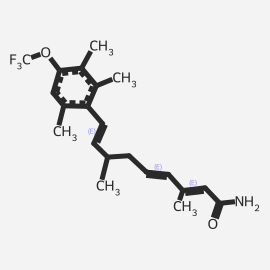 CC(/C=C/CC(C)/C=C/c1c(C)cc(OC(F)(F)F)c(C)c1C)=C\C(N)=O